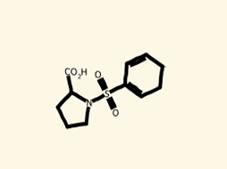 O=C(O)C1CCCN1S(=O)(=O)C1=CC[CH]C=C1